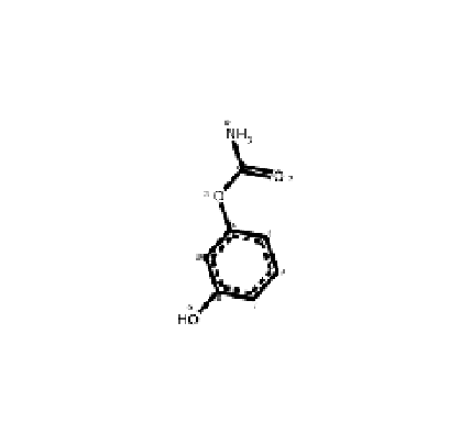 NC(=O)Oc1cccc(O)c1